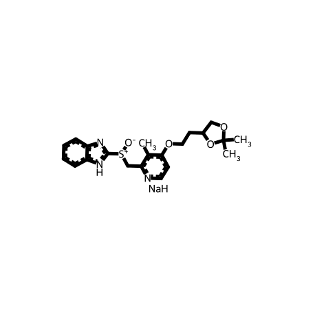 Cc1c(OCCC2COC(C)(C)O2)ccnc1C[S+]([O-])c1nc2ccccc2[nH]1.[NaH]